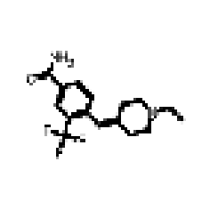 CCN1CCC(=Cc2ccc(C(N)=O)cc2C(F)(F)F)CC1